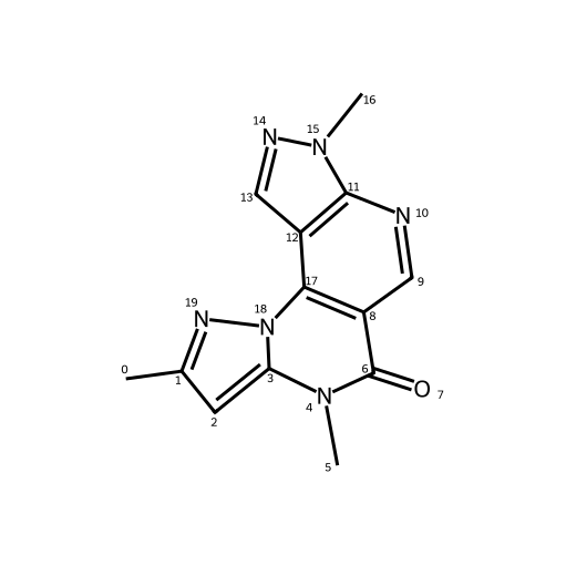 Cc1cc2n(C)c(=O)c3cnc4c(cnn4C)c3n2n1